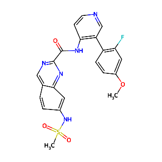 COc1ccc(-c2cnccc2NC(=O)c2ncc3ccc(NS(C)(=O)=O)cc3n2)c(F)c1